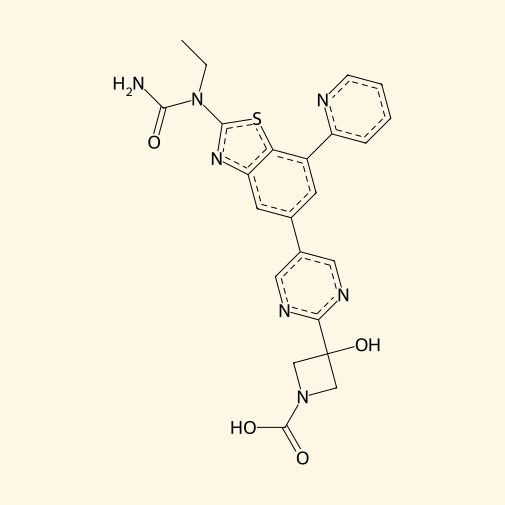 CCN(C(N)=O)c1nc2cc(-c3cnc(C4(O)CN(C(=O)O)C4)nc3)cc(-c3ccccn3)c2s1